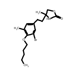 CCCCCOc1c(C)cc(CCC2(C)COC(=O)N2)cc1Br